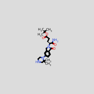 CC(C)(C)OC(=O)CC[C@@H](C(N)=O)N1Cc2cc(N3CCNCC3(C)C)ccc2C1=O